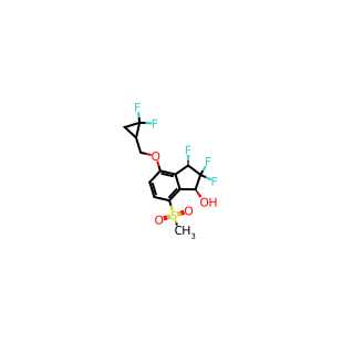 CS(=O)(=O)c1ccc(OCC2CC2(F)F)c2c1[C@H](O)C(F)(F)[C@@H]2F